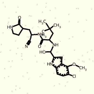 COc1c(Cl)ccc2[nH]c(C(O)NC(CC(C)(C)C)C(=O)NC(C#N)CC3CCNC3=O)cc12